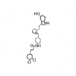 O=C(/C=C/c1ccc(Cl)c(Cl)c1)NC1CCC(CN2C=CCC2CCc2c[nH]c3ccc(O)cc23)CC1